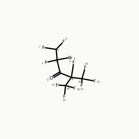 O=C(C(F)(Br)C(F)F)C(F)(C(F)(F)F)C(F)(F)F